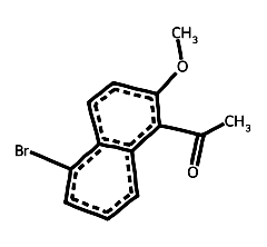 COc1ccc2c(Br)cccc2c1C(C)=O